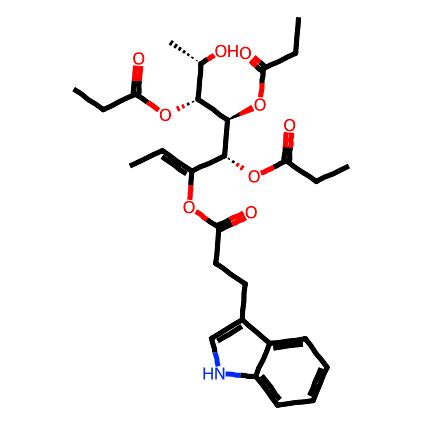 C/C=C(\OC(=O)CCc1c[nH]c2ccccc12)[C@@H](OC(=O)CC)[C@H](OC(=O)CC)[C@H](OC(=O)CC)[C@H](C)O